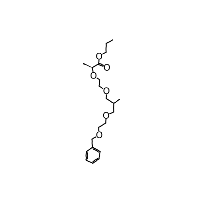 CCCOC(=O)[C@H](C)OCCOCC(C)COCCOCc1ccccc1